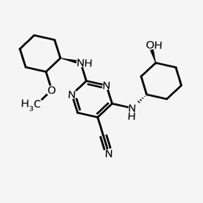 COC1CCCC[C@H]1Nc1ncc(C#N)c(N[C@H]2CCC[C@H](O)C2)n1